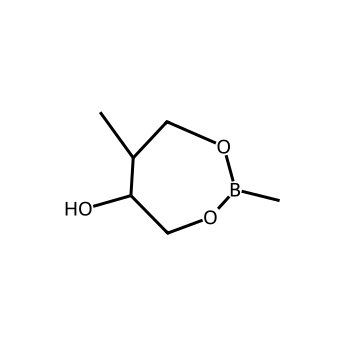 CB1OCC(C)C(O)CO1